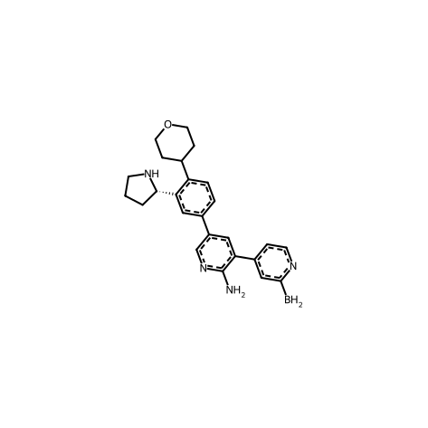 Bc1cc(-c2cc(-c3ccc(C4CCOCC4)c([C@@H]4CCCN4)c3)cnc2N)ccn1